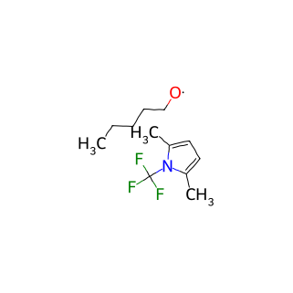 CCCCC[O].Cc1ccc(C)n1C(F)(F)F